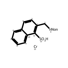 CCCCCCCCCCc1ccc2ccccc2c1S(=O)(=O)O.[Cr]